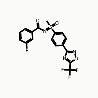 CS(=O)(=NC(=O)c1cccc(F)c1)c1ccc(-c2noc(C(F)(F)F)n2)cc1